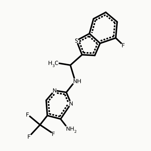 CC(Nc1ncc(C(F)(F)F)c(N)n1)c1cc2c(F)cccc2s1